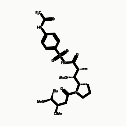 CC[C@H](C)[C@H](NC)[C@@H](CC(=O)N1CCC[C@H]1[C@H](OC)[C@@H](C)C(=O)NS(=O)(=O)c1ccc(NC(=O)C(F)(F)F)cc1)OC